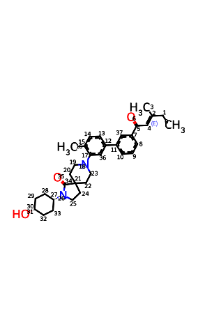 CC/C(C)=C/C(=O)c1cccc(-c2ccc(C)c(N3CCC4(CC3)CCN([C@H]3CC[C@@H](O)CC3)C4=O)c2)c1